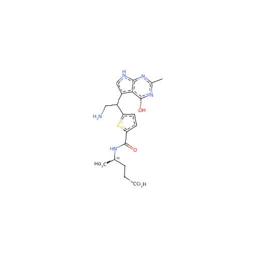 Cc1nc(O)c2c(C(CN)c3ccc(C(=O)N[C@@H](CCC(=O)O)C(=O)O)s3)c[nH]c2n1